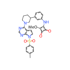 COc1c(Nc2cccc(C3CCCN(c4ncnc5c4ccn5S(=O)(=O)c4ccc(C)cc4)C3)c2)c(=O)c1=O